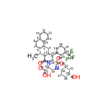 CCc1c(Cc2cccc3ccccc23)c(-c2cccc(C(F)(F)F)c2)c2n(c1=O)C(C(=O)O)CN([C@H]1CC[C@@H](O)CC1)S2(=O)=O